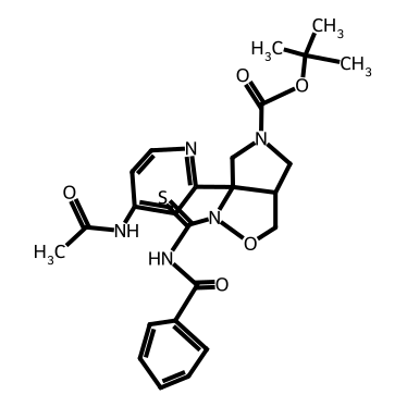 CC(=O)Nc1ccnc(C23CN(C(=O)OC(C)(C)C)CC2CON3C(=S)NC(=O)c2ccccc2)c1